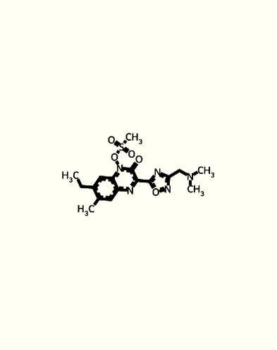 CCc1cc2c(cc1C)nc(-c1nc(CN(C)C)no1)c(=O)n2OS(C)(=O)=O